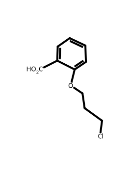 O=C(O)c1ccccc1OCCCCl